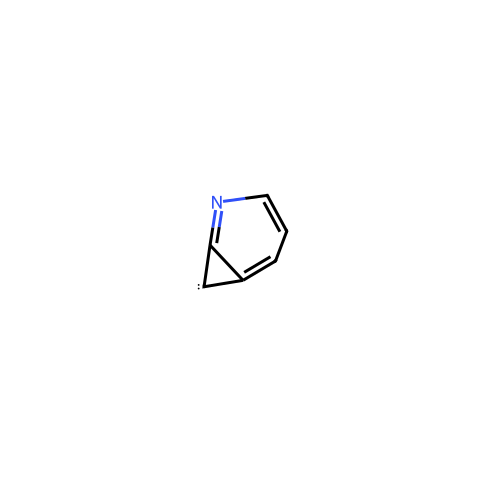 [C]1c2cccnc21